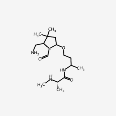 CN[C@@H](C)C(=O)NC(C)CCOC1CC(C)(C)C(CN)N1C=O